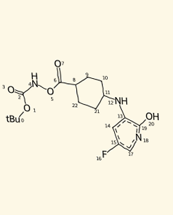 CC(C)(C)OC(=O)NOC(=O)C1CCC(Nc2cc(F)cnc2O)CC1